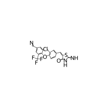 N#Cc1ccc(Oc2ccc(/C=C3/SC(=N)NC3=O)cc2Cl)c(C(F)(F)F)c1